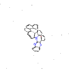 c1ccc(-c2nc3ccccc3nc2-n2c3ccccc3c3c4c(ccc5ccc6ccccc6c54)ccc32)cc1